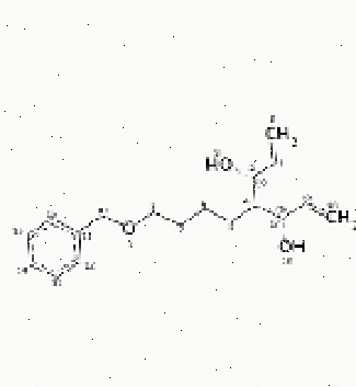 C=C[C@@H](O)C(CCCCOCc1ccccc1)[C@@H](O)C=C